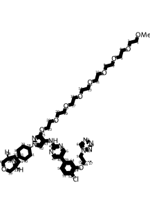 COCCOCCOCCOCCOCCOCCOCCOCCOc1nn([C@H]2CC[C@H](N3[C@@H]4CC[C@H]3COC4)CC2)cc1Nc1ncc(-c2ccc(Cl)c(O[C@@H](C)Cn3cnnn3)c2)cn1